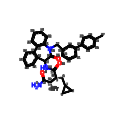 CCC[C@H](C(N)=O)[C@@H](CC1CC1)C(=O)NC1C(=O)N(Cc2cccc(-c3ccc(C)cc3)c2)c2ccccc2-c2ccccc21